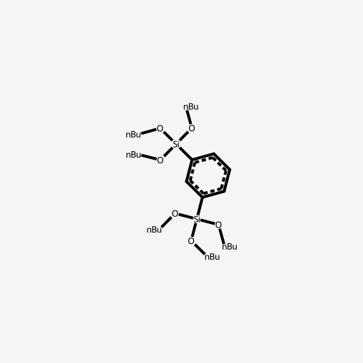 CCCCO[Si](OCCCC)(OCCCC)c1cccc([Si](OCCCC)(OCCCC)OCCCC)c1